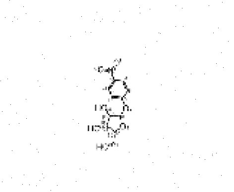 O=[N+]([O-])c1ccc(OC2O[C@H](CO)[C@H](O)[C@H]2O)cc1